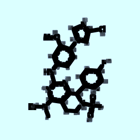 CCN(C)c1nc(Nc2ccc(-n3cnc(Cl)c3)c(OC)c2)nc2c1CCN(S(C)(=O)=O)C2c1ccc(F)cc1